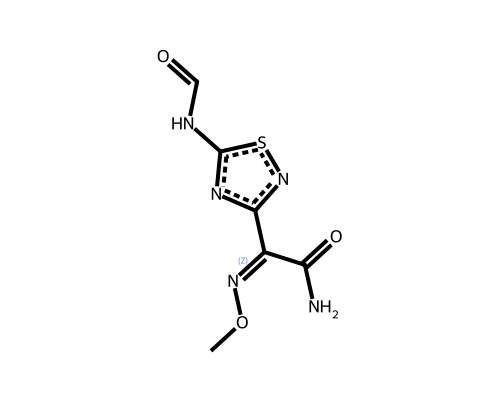 CO/N=C(\C(N)=O)c1nsc(NC=O)n1